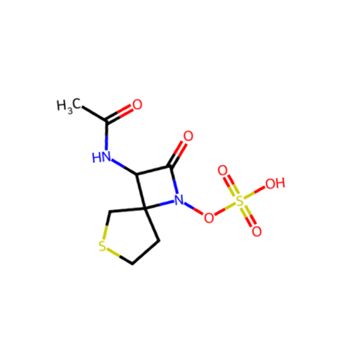 CC(=O)NC1C(=O)N(OS(=O)(=O)O)C12CCSC2